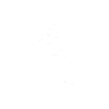 CCc1nc2ccccc2n1-c1ccccc1-c1ccc(-c2c3ccccc3c(-c3ccc4c(c3)C(C)(C)c3ccccc3-4)c3ccccc23)cc1